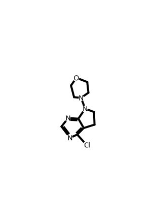 Clc1ncnc2c1CCN2N1CCOCC1